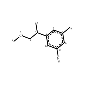 [CH2]C(COC)c1cc(C)cc(F)c1